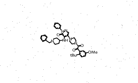 COc1ccc(C(C)(C)C)c(C(=O)C(=O)N2CCN(c3cnn(-c4ccccc4)c(=O)c3NC3CCN(Cc4ccccc4)CC3)CC2)c1